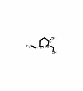 NC[C@@H]1CC[C@H](O)[C@@H](CO)O1